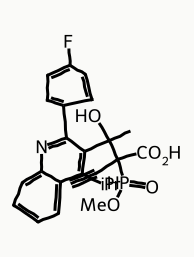 C#CC(C(=O)O)([PH](=O)OC)C(C)(O)c1c(-c2ccc(F)cc2)nc2ccccc2c1C(C)C